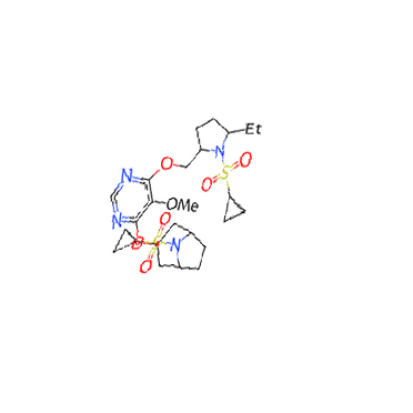 CCC1CCC(COc2ncnc(OC3CC4CCC(C3)N4S(=O)(=O)C3CC3)c2OC)N1S(=O)(=O)C1CC1